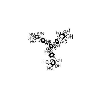 O=S(=O)(Nc1ccc(S[C@@H]2O[C@H](CO)[C@@H](O)[C@H](O)[C@H]2O)cc1)c1cc(S(=O)(=O)Nc2ccc(S[C@@H]3O[C@H](CO)[C@@H](O)[C@H](O)[C@H]3O)cc2)cc(S(=O)(=O)Nc2ccc(S[C@@H]3O[C@H](CO)[C@@H](O)[C@H](O)[C@H]3O)cc2)c1